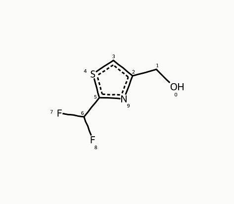 OCc1csc(C(F)F)n1